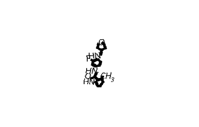 Cc1cccc2c1C(=CNc1ccc(NCC3CCOCC3)c(F)c1)C(=O)N2